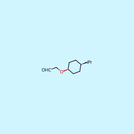 CC(C)[C@H]1CC[C@@H](OCC=O)CC1